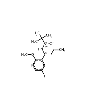 C=CC[C@@H](N[S@@+]([O-])C(C)(C)C)c1cc(F)cnc1OC